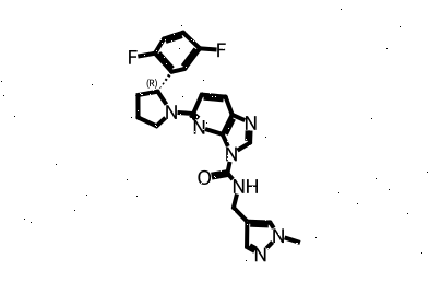 Cn1cc(CNC(=O)n2cnc3ccc(N4CCC[C@@H]4c4cc(F)ccc4F)nc32)cn1